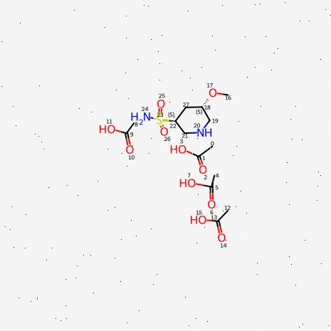 CC(=O)O.CC(=O)O.CC(=O)O.CC(=O)O.CO[C@@H]1CNC[C@@H](S(N)(=O)=O)C1